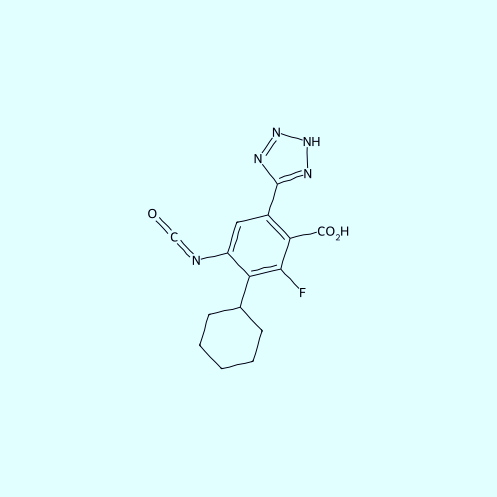 O=C=Nc1cc(-c2nn[nH]n2)c(C(=O)O)c(F)c1C1CCCCC1